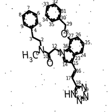 CN(CCc1ccccc1)C(=O)Cn1cc(C=Cc2nnn[nH]2)c2cccc(OCc3ccccc3)c21